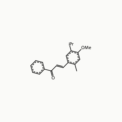 COc1cc(C)c(/C=C/C(=O)c2ccccc2)cc1C(C)C